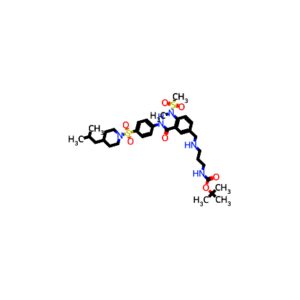 CC(C)CC1CCN(S(=O)(=O)c2ccc(NC(=O)c3cc(CNCCCNC(=O)OC(C)(C)C)ccc3N(C)S(C)(=O)=O)cc2)CC1